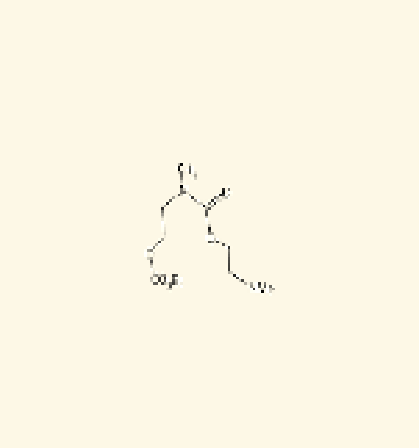 CCOC(=O)OCCN(C)C(=O)OCCNC